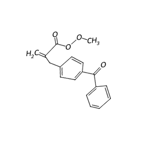 C=C(Cc1ccc(C(=O)c2ccccc2)cc1)C(=O)OOC